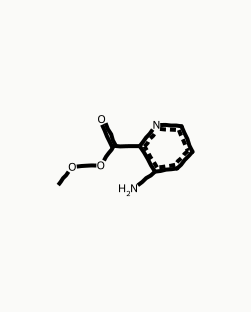 COOC(=O)c1ncccc1N